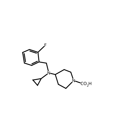 O=C(O)N1CCC(N(Cc2ccccc2F)C2CC2)CC1